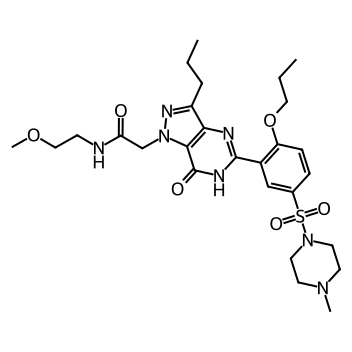 CCCOc1ccc(S(=O)(=O)N2CCN(C)CC2)cc1-c1nc2c(CCC)nn(CC(=O)NCCOC)c2c(=O)[nH]1